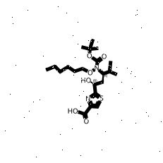 CCCCCCON(C(=O)OC(C)(C)C)[C@H](C[C@@H](O)c1nc(C(=O)O)cs1)C(C)C